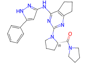 O=C([C@@H]1CCCN1c1nc2c(c(Nc3cc(-c4ccccc4)[nH]n3)n1)CCC2)N1CCCC1